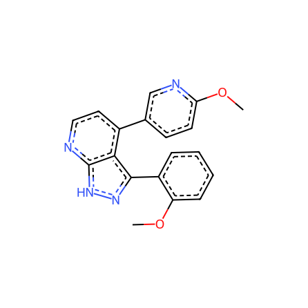 COc1ccc(-c2ccnc3[nH]nc(-c4ccccc4OC)c23)cn1